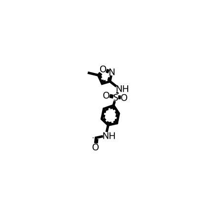 Cc1cc(NS(=O)(=O)c2ccc(N[C]=O)cc2)no1